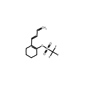 C=CC=CC1=C(OS(=O)(=O)C(F)(F)F)CCCC1